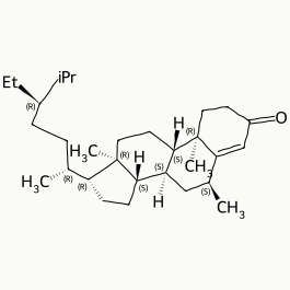 CC[C@H](CC[C@@H](C)[C@H]1CC[C@H]2[C@@H]3C[C@H](C)C4=CC(=O)CC[C@]4(C)[C@H]3CC[C@]12C)C(C)C